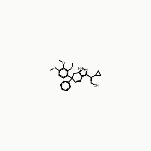 COc1ccc(C2(c3ccccc3)C=Cc3c(C(=NO)C4CC4)n[nH]c3C2)c(OC)c1OC